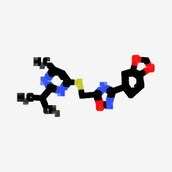 Cc1cc(SCc2nc(-c3ccc4c(c3)OCO4)no2)nc(C(C)C)n1